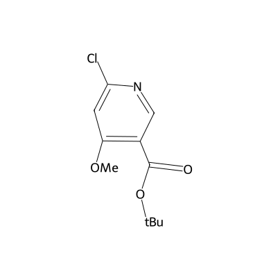 COc1cc(Cl)ncc1C(=O)OC(C)(C)C